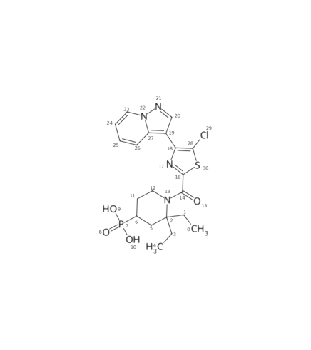 CCC1(CC)CC(P(=O)(O)O)CCN1C(=O)c1nc(-c2cnn3ccccc23)c(Cl)s1